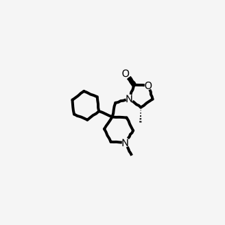 C[C@H]1COC(=O)N1CC1(C2CCCCC2)CCN(C)CC1